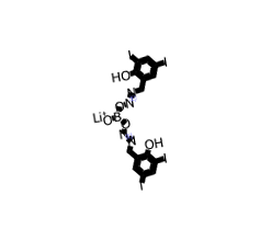 [Li+].[O-]B(O/N=N/Cc1cc(I)cc(I)c1O)O/N=N/Cc1cc(I)cc(I)c1O